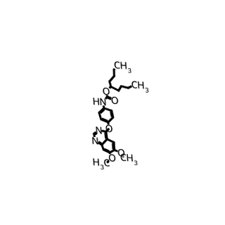 CCCCC(CCCC)OC(=O)Nc1ccc(Oc2ncnc3cc(OC)c(OC)cc23)cc1